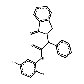 O=C(Nc1cc(F)ccc1F)C(c1ccccc1)N1Cc2ccccc2C1=O